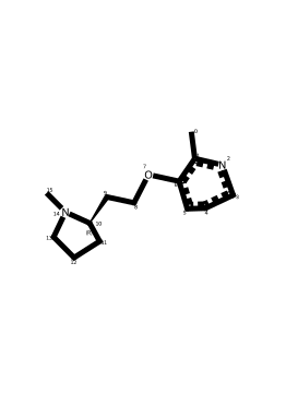 Cc1ncccc1OCC[C@H]1CCCN1C